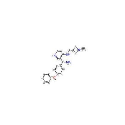 BN1CC(CNc2ccncc2C(N)c2ccc(Oc3ccccc3)cc2)C1